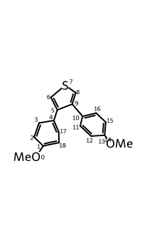 COc1ccc(-c2cscc2-c2ccc(OC)cc2)cc1